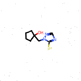 OC1(Cn2ncnc2S)CCCC1